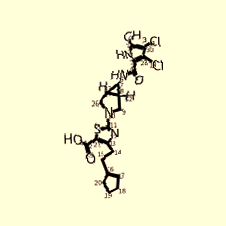 Cc1[nH]c(C(=O)N[C@@H]2[C@@H]3CN(c4nc(CCC5CCCC5)c(C(=O)O)s4)C[C@@H]32)c(Cl)c1Cl